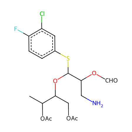 CC(=O)OCC(OC(Sc1ccc(F)c(Cl)c1)C(CN)OC=O)C(C)OC(C)=O